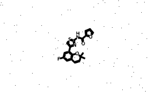 CC1(C)C=Cc2cc(F)cc(-c3csc(NC(=O)c4ccco4)n3)c2O1